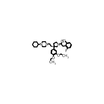 CCOc1ccc([C@]2(CCN3CCN(C4CCCCC4)CC3)CCN(C(=O)Cc3c(F)cccc3Cl)C2)cc1OCC